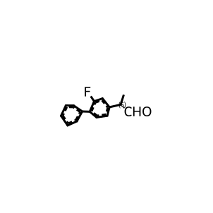 C[C@H](C=O)c1ccc(-c2ccccc2)c(F)c1